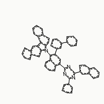 c1ccc(-c2cccc(-c3cc(-c4nc(-c5ccccc5)nc(-c5ccc6ccccc6c5)n4)c4ccccc4c3-n3c4cc5ccccc5cc4c4c5ccccc5ccc43)c2)cc1